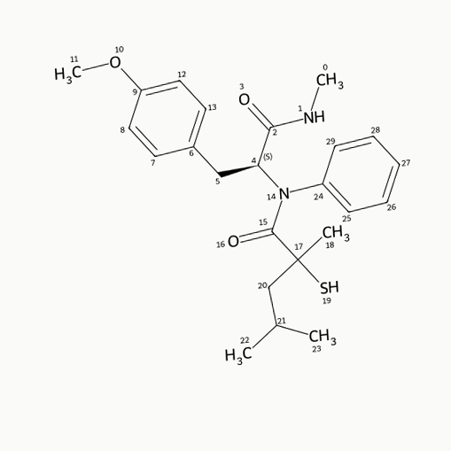 CNC(=O)[C@H](Cc1ccc(OC)cc1)N(C(=O)C(C)(S)CC(C)C)c1ccccc1